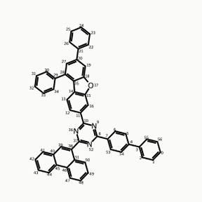 c1ccc(-c2ccc(-c3nc(-c4ccc5c(c4)oc4cc(-c6ccccc6)cc(-c6ccccc6)c45)nc(-c4cc5ccccc5c5ccccc45)n3)cc2)cc1